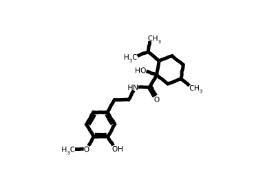 COc1ccc(CCNC(=O)C2(O)CC(C)CCC2C(C)C)cc1O